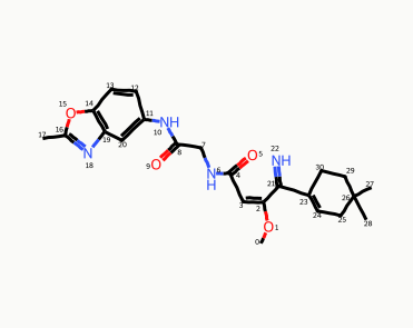 CO/C(=C/C(=O)NCC(=O)Nc1ccc2oc(C)nc2c1)C(=N)C1=CCC(C)(C)CC1